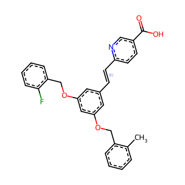 Cc1ccccc1COc1cc(/C=C/c2ccc(C(=O)O)cn2)cc(OCc2ccccc2F)c1